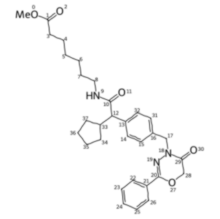 COC(=O)CCCCCCNC(=O)C(c1ccc(CN2N=C(c3ccccc3)OCC2=O)cc1)C1CCCC1